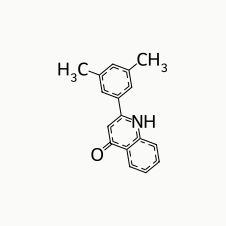 Cc1cc(C)cc(-c2cc(=O)c3ccccc3[nH]2)c1